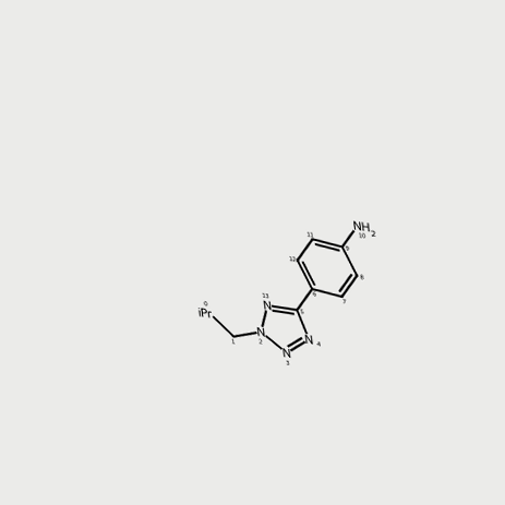 CC(C)Cn1nnc(-c2ccc(N)cc2)n1